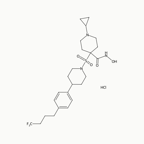 Cl.O=C(NO)C1(S(=O)(=O)N2CCC(c3ccc(CCCC(F)(F)F)cc3)CC2)CCN(C2CC2)CC1